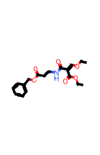 CCOC=C(C(=O)NCCC(=O)OCc1ccccc1)C(=O)OCC